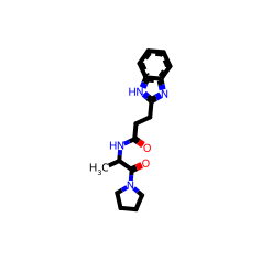 CC(NC(=O)CCc1nc2ccccc2[nH]1)C(=O)N1CCCC1